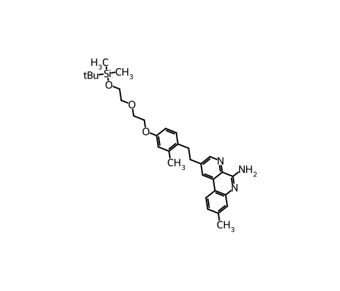 Cc1ccc2c(c1)nc(N)c1ncc(CCc3ccc(OCCOCCO[Si](C)(C)C(C)(C)C)cc3C)cc12